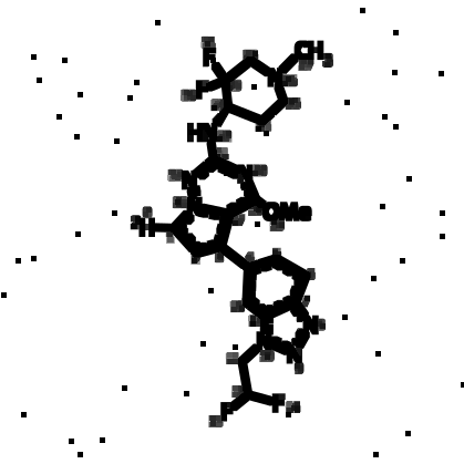 [2H]c1cc(-c2ccc3nnn(CC(F)F)c3c2)c2c(OC)nc(N[C@@H]3CCN(C)CC3(F)F)nn12